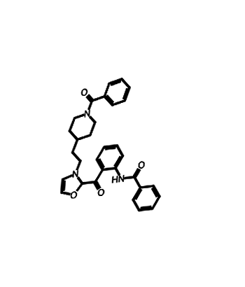 O=C(Nc1ccccc1C(=O)C1OC=CN1CCC1CCN(C(=O)c2ccccc2)CC1)c1ccccc1